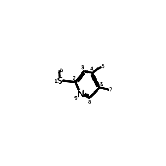 CSc1cc(C)c(C)cn1